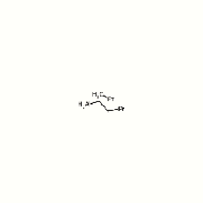 CC(C)C[CH2][AlH2].CCC